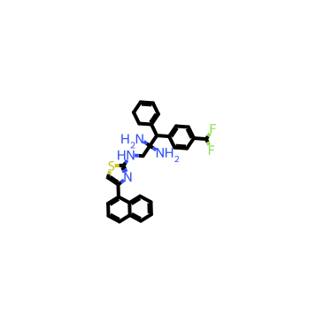 NC(N)(CNc1nc(-c2cccc3ccccc23)cs1)C(C1=CC=CCC1)c1ccc(C(F)F)cc1